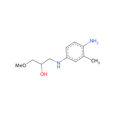 COCC(O)CNc1ccc(N)c(C)c1